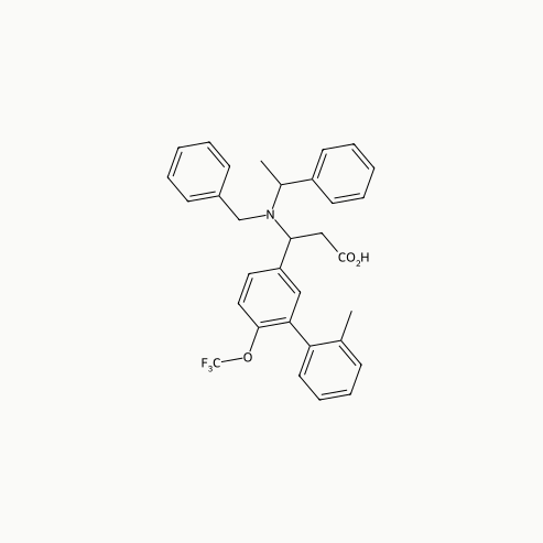 Cc1ccccc1-c1cc(C(CC(=O)O)N(Cc2ccccc2)C(C)c2ccccc2)ccc1OC(F)(F)F